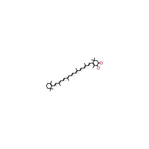 CC1=C(/C=C/C(C)=C/C=C/C(C)=C/C=C/C=C(C)/C=C/C=C(C)/C=C/C2=C(C)C(=O)C(=O)CC2(C)C)C(C)(C)CCC1